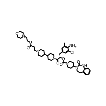 Cc1cc(C[C@@H](OC(=O)N2CCC(N3CCc4ccccc4NC3=O)CC2)C(=O)N2CCC(C3CCN(CCC(=O)OCCN4CCOCC4)CC3)CC2)cc(Cl)c1N